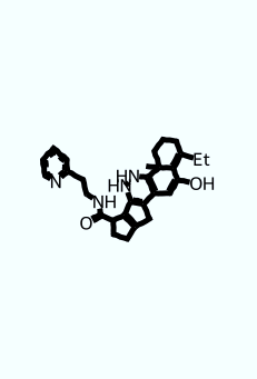 CCC1=C2C(O)=CC3=C(NNC4=C3CC3=C4C(C(=O)NCCc4ccccn4)CC3)C2(C)CCC1